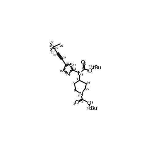 CC(C)(C)OC(=O)N1CCC(N(C(=O)OC(C)(C)C)c2ncc(C#C[Si](C)(C)C)s2)CC1